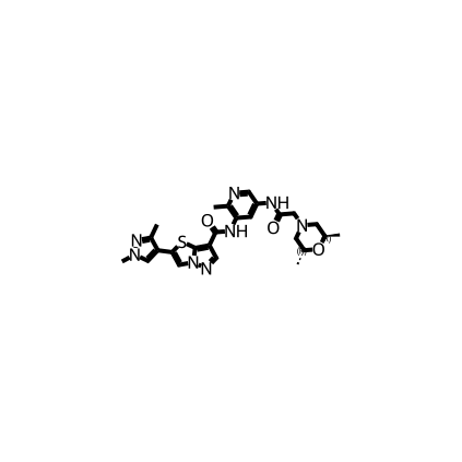 Cc1ncc(NC(=O)CN2C[C@@H](C)O[C@H](C)C2)cc1NC(=O)c1cnn2cc(-c3cn(C)nc3C)sc12